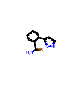 NC(=S)c1ccccc1-c1cc[nH]n1